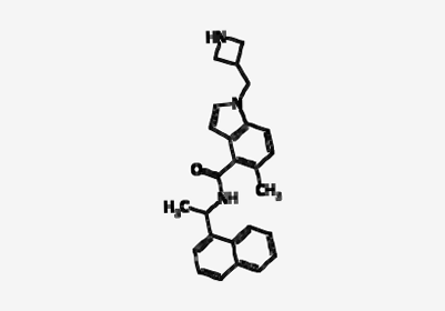 Cc1ccc2c(ccn2CC2CNC2)c1C(=O)NC(C)c1cccc2ccccc12